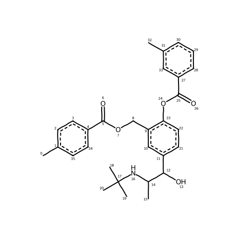 Cc1ccc(C(=O)OCc2cc(C(O)C(C)NC(C)(C)C)ccc2OC(=O)c2cccc(C)c2)cc1